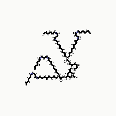 CCCCC/C=C\C/C=C\CCCCCCCCN(CCCCCCCC/C=C\C/C=C\CCCCC)C(=O)OCC1CC(CN2CCCCC2COC(=O)N(CCCCCCCC/C=C\C/C=C\CCCCC)CCCCCCCC/C=C\C/C=C\CCCCC)CN(C)C1